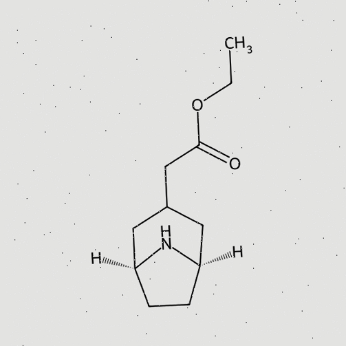 CCOC(=O)CC1C[C@H]2CC[C@@H](C1)N2